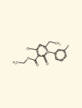 CCOC(=O)c1c(Cl)cc(CC)n(-c2cccc(F)c2)c1=O